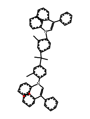 Cc1cc(C(C)(C)c2ccc(N(C=C(c3ccccc3)c3ccccc3)c3ccccc3)c(C)c2)ccc1N(C=C(c1ccccc1)c1ccccc1)c1ccccc1